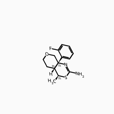 C[C@@H]1SC(N)=N[C@@]2(c3ccccc3F)COCC[C@@H]12